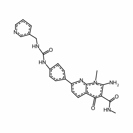 CNC(=O)c1c(N)n(C)c2nc(-c3ccc(NC(=O)NCc4cccnc4)cc3)ccc2c1=O